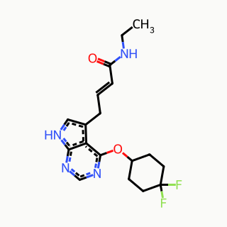 CCNC(=O)C=CCc1c[nH]c2ncnc(OC3CCC(F)(F)CC3)c12